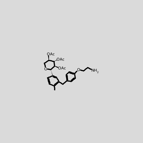 CC(=O)O[C@@H]1[C@@H](OC(C)=O)[C@H](c2ccc(C)c(Cc3ccc(OCCN)cc3)c2)OC[C@H]1OC(C)=O